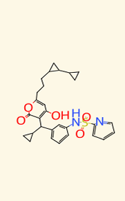 O=c1oc(CCCC2CC2C2CC2)cc(O)c1C(c1cccc(NS(=O)(=O)c2ccccn2)c1)C1CC1